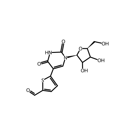 O=Cc1ccc(-c2cn([C@H]3O[C@@H](CO)C(O)C3O)c(=O)[nH]c2=O)s1